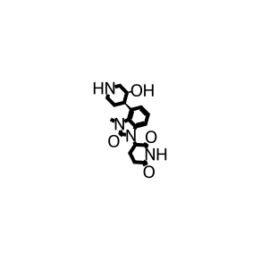 Cn1c(=O)n(C2CCC(=O)NC2=O)c2cccc([C@H]3CCNC[C@@H]3O)c21